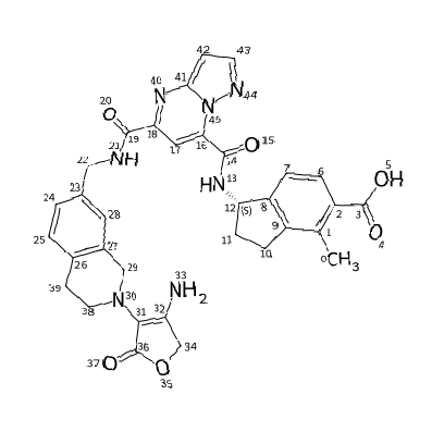 Cc1c(C(=O)O)ccc2c1CC[C@@H]2NC(=O)c1cc(C(=O)NCc2ccc3c(c2)CN(C2=C(N)COC2=O)CC3)nc2ccnn12